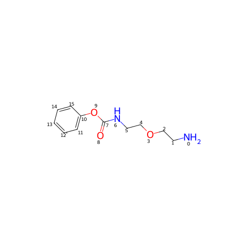 NCCOCCNC(=O)Oc1c[c]ccc1